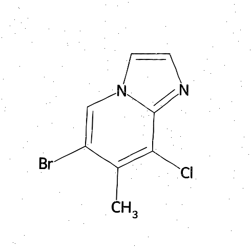 Cc1c(Br)cn2ccnc2c1Cl